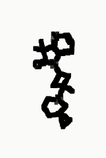 CC1(C)C(=O)N(C2CC(C)(N3CCCC4(CC4)C3)C2)c2cccnc21